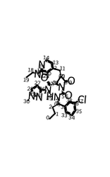 CCC[C@@H](NC(=O)N1C(=O)[C@H](Cc2ccnc(NCC)c2)[C@H]1C(=O)N(C)c1ccn(C)n1)c1cccc(Cl)c1